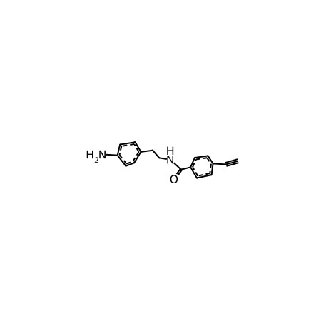 C#Cc1ccc(C(=O)NCCc2ccc(N)cc2)cc1